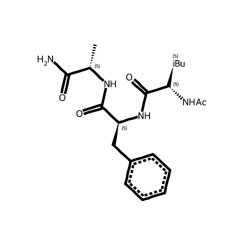 CC[C@H](C)[C@H](NC(C)=O)C(=O)N[C@@H](Cc1ccccc1)C(=O)N[C@@H](C)C(N)=O